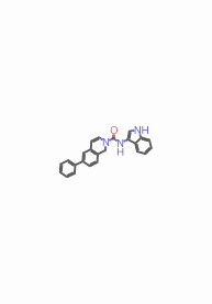 O=C(Nc1c[nH]c2ccccc12)N1C=Cc2cc(-c3ccccc3)ccc2C1